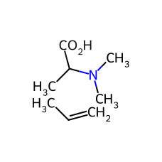 C=CC.CC(C(=O)O)N(C)C